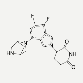 O=C1CCC(n2cc3c(N4CC5CC4CN5)cc(F)c(F)c3c2)C(=O)N1